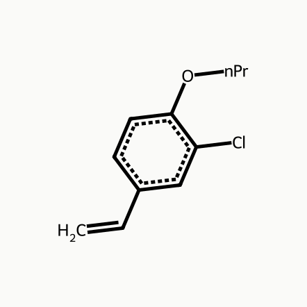 C=Cc1ccc(OCCC)c(Cl)c1